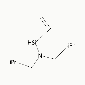 C=C[SiH](C)N(CC(C)C)CC(C)C